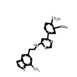 CSc1cc(-c2cc(NCCc3cc(C)c4sccc4c3)ncn2)ccc1C(=O)O